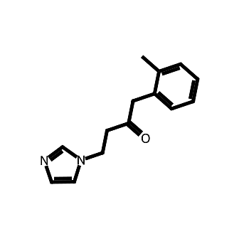 Cc1ccccc1CC(=O)CCn1ccnc1